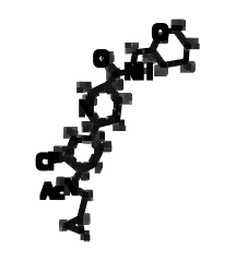 CC(=O)N(CC1CC1)c1ccc(-c2ccc(C(=O)NCC3CCCCO3)cn2)cc1Cl